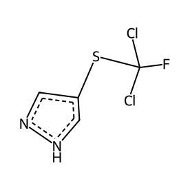 FC(Cl)(Cl)Sc1cn[nH]c1